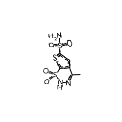 CC1=NNS(=O)(=O)c2sc(S(N)(=O)=O)cc21